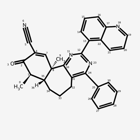 C[C@H]1C(=O)C(C#N)=C[C@@]2(C)c3nc(-c4cccc5ncccc45)nc(-c4ccccc4)c3CCC[C@H]12